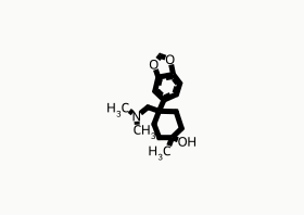 CN(C)CC1(c2ccc3c(c2)OCO3)CCC(C)(O)CC1